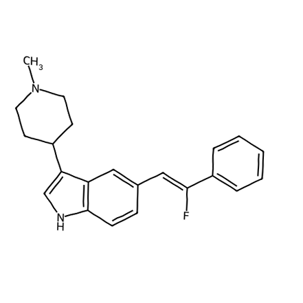 CN1CCC(c2c[nH]c3ccc(C=C(F)c4ccccc4)cc23)CC1